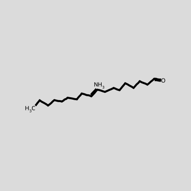 CCCCCCCCC=CCCCCCCCC=O.N